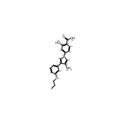 CCCOc1cccc(-c2cn(-c3ccc(C(=O)O)c(O)c3)cc2N)c1